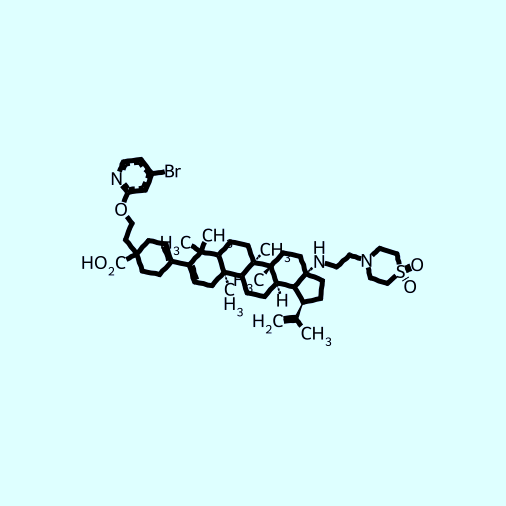 C=C(C)[C@@H]1CC[C@]2(NCCN3CCS(=O)(=O)CC3)CC[C@]3(C)[C@H](CCC4[C@@]5(C)CC=C(C6=CCC(CCOc7cc(Br)ccn7)(C(=O)O)CC6)C(C)(C)C5CC[C@]43C)C12